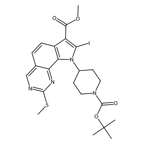 COC(=O)c1c(I)n(C2CCN(C(=O)OC(C)(C)C)CC2)c2c1ccc1cnc(SC)nc12